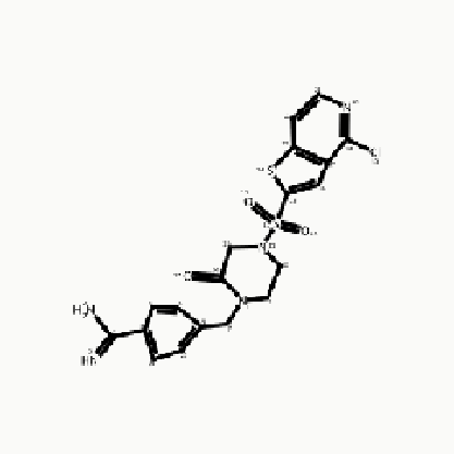 N=C(N)c1ccc(CN2CCN(S(=O)(=O)c3cc4c(Cl)nccc4s3)CC2=O)cc1